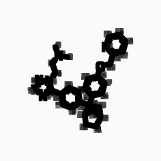 CN(C)CCn1nnnc1-c1ccc(C2(c3ccc(OCc4ccccn4)cc3)CC3CCC2C3)cc1